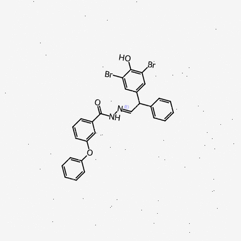 O=C(N/N=C/C(c1ccccc1)c1cc(Br)c(O)c(Br)c1)c1cccc(Oc2ccccc2)c1